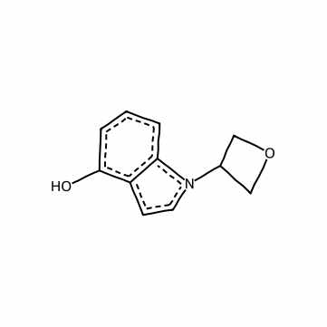 Oc1cccc2c1ccn2C1COC1